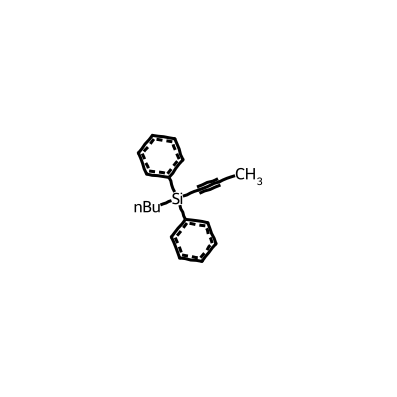 CC#C[Si](CCCC)(c1ccccc1)c1ccccc1